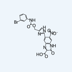 O=C(Nc1cccc(Br)c1)OCc1c[nH]c(-c2cc3nc(C(=O)O)c(=O)[nH]c3cc2[N+](=O)[O-])n1